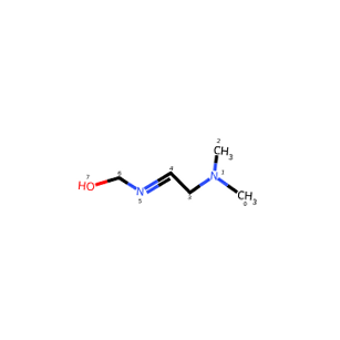 CN(C)CC=NCO